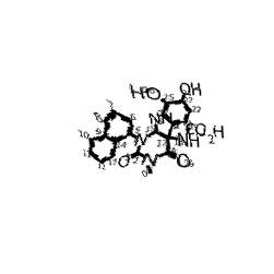 CN1C(=O)N(c2cccc3ccccc23)C(N)C(NC(=O)O)(c2ccc(O)c(O)c2)C1=O